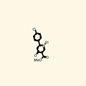 CCn1cc(C(=O)OC)c(=O)cc1-c1ccc(Cl)cc1